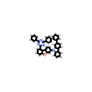 C1=CCC(c2nc(-c3ccccc3)nc(-c3cccc4oc5cc(-n6c7ccccc7c7ccc(-c8ccccc8)cc76)ccc5c34)n2)C=C1